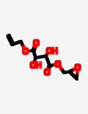 C=CCOC(=O)C(O)C(O)C(=O)OCC1CO1